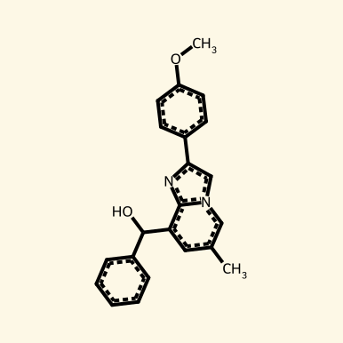 COc1ccc(-c2cn3cc(C)cc(C(O)c4ccccc4)c3n2)cc1